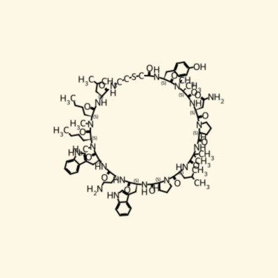 CCCC[C@H]1C(=O)N(C)[C@@H](CCCC)C(=O)N[C@@H](CC(C)C)C(=O)NCCSCC(=O)N[C@@H](Cc2ccc(O)cc2)C(=O)N(C)[C@@H](C)C(=O)N[C@@H](CC(N)=O)C(=O)N2CCC[C@H]2C(=O)NC(C)(C)C(=O)N[C@@H](CC(C)C)C(=O)N2CCC[C@H]2C(=O)N[C@@H](Cc2c[nH]c3ccccc23)C(=O)N[C@@H](CCN)C(=O)N[C@@H](Cc2c[nH]c3ccccc23)C(=O)N1C